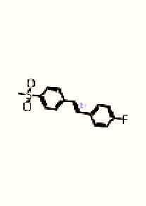 CS(=O)(=O)c1ccc(/C=C/c2ccc(F)cc2)cc1